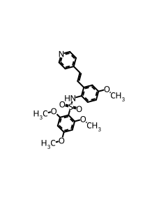 COc1ccc(NS(=O)(=O)c2c(OC)cc(OC)cc2OC)c(C=Cc2ccncc2)c1